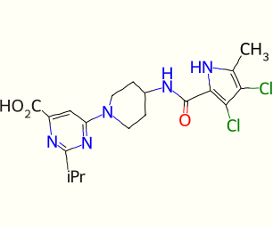 Cc1[nH]c(C(=O)NC2CCN(c3cc(C(=O)O)nc(C(C)C)n3)CC2)c(Cl)c1Cl